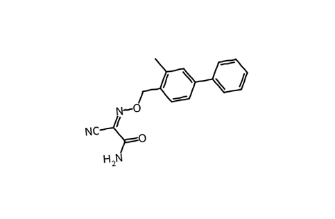 Cc1cc(-c2ccccc2)ccc1CON=C(C#N)C(N)=O